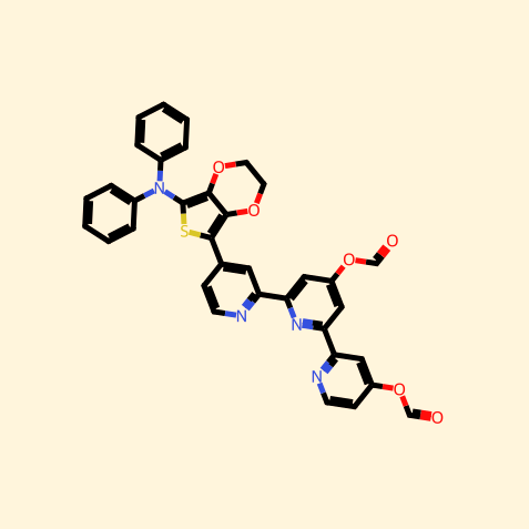 O=COc1ccnc(-c2cc(OC=O)cc(-c3cc(-c4sc(N(c5ccccc5)c5ccccc5)c5c4OCCO5)ccn3)n2)c1